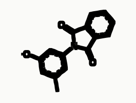 Cc1cc([O])cc(N2C(=O)c3ccccc3C2=O)c1